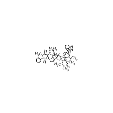 CC[C@H](C)[C@@H]([C@@H](CC(=O)N1CCC[C@H]1[C@H](OC)[C@@H](C)C(=O)N[C@H](C)[C@@H](O)c1ccccc1)OC)N(C)C(=O)[C@@H](NC(=O)C1N[C@H]2CCC1C2)C(C)C